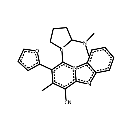 Cc1c(-c2ccco2)c(N2CCCC2N(C)C)n2c(nc3ccccc32)c1C#N